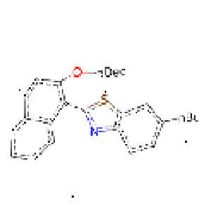 CCCCCCCCCCOc1ccc2ccccc2c1-c1nc2ccc(CCCC)cc2s1